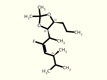 CCC[C@@H]1OC(C)(C)O[C@@H]1C(C)/C(F)=C\[C@@H](C)C(C)C